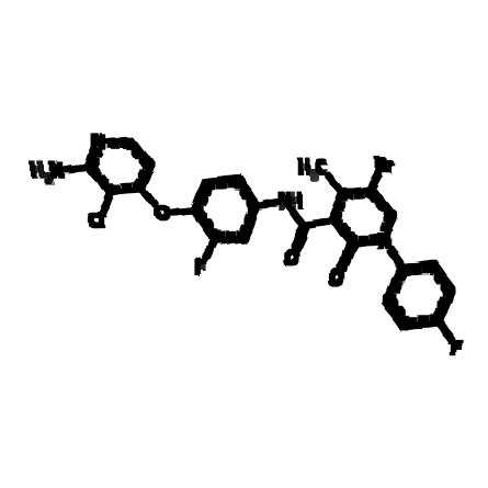 Cc1c(Br)cn(-c2ccc(F)cc2)c(=O)c1C(=O)Nc1ccc(Oc2ccnc(N)c2Cl)c(F)c1